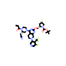 C=CC(=O)N1CCN(c2nc(OC[C@@H]3C[C@@H](F)CN3C(=O)OC(C)(C)C)nc3c2CCN(c2cncc(F)c2C(F)(F)F)C3)C[C@@H]1CC#N